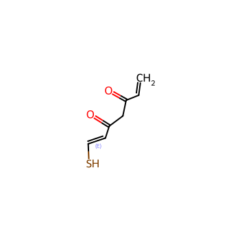 C=CC(=O)CC(=O)/C=C/S